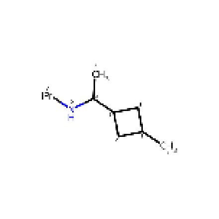 CC1CC(C(C)NC(C)C)C1